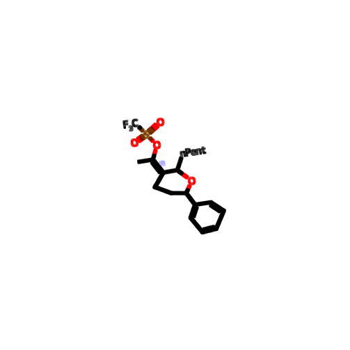 CCCCCC1OC(c2ccccc2)CC/C1=C(\C)OS(=O)(=O)C(F)(F)F